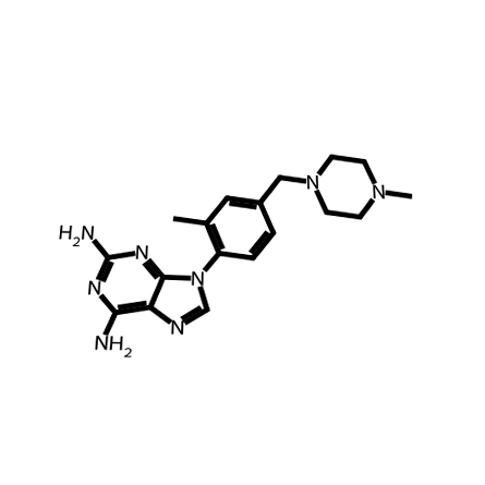 Cc1cc(CN2CCN(C)CC2)ccc1-n1cnc2c(N)nc(N)nc21